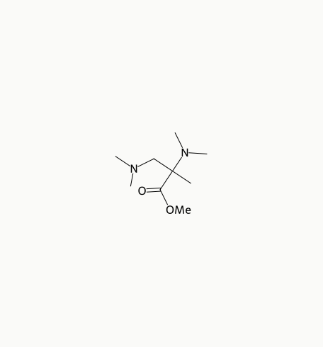 COC(=O)C(C)(CN(C)C)N(C)C